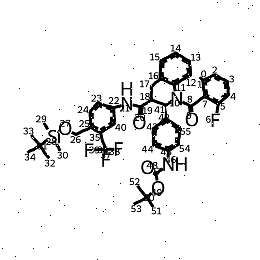 Cc1cccc(F)c1C(=O)N1c2ccccc2CC(C(=O)Nc2ccc(CO[Si](C)(C)C(C)(C)C)c(C(F)(F)F)c2)[C@@H]1c1ccc(NC(=O)OC(C)(C)C)cc1